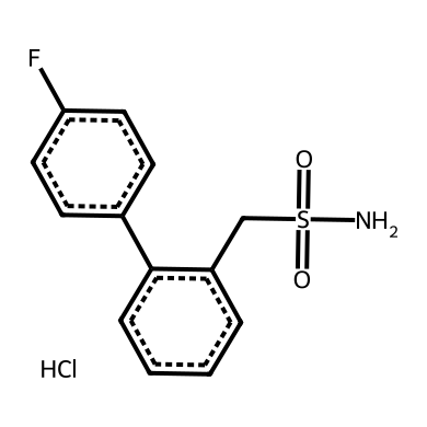 Cl.NS(=O)(=O)Cc1ccccc1-c1ccc(F)cc1